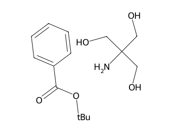 CC(C)(C)OC(=O)c1ccccc1.NC(CO)(CO)CO